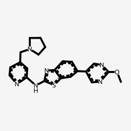 COc1ncc(-c2ccc3nc(Nc4cc(CN5CCCC5)ccn4)sc3c2)cn1